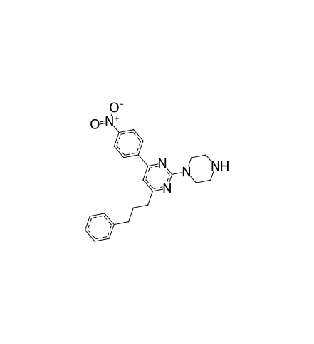 O=[N+]([O-])c1ccc(-c2cc(CCCc3ccccc3)nc(N3CCNCC3)n2)cc1